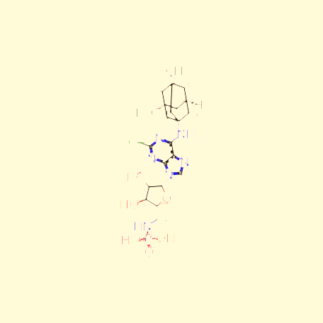 C[C@]12C[C@@H]3C[C@](C)(C1)C[C@@](Nc1nc(Cl)nc4c1ncn4[C@@H]1O[C@H](CNP(=O)(O)O)C(O)C1O)(C3)C2